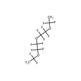 CC(F)(F)OC(F)(F)C(F)(F)OC(F)(F)C(F)(F)OC(F)(F)C(F)(F)F